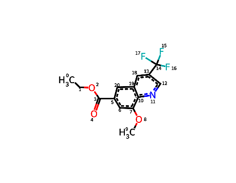 CCOC(=O)c1cc(OC)c2ncc(C(F)(F)F)cc2c1